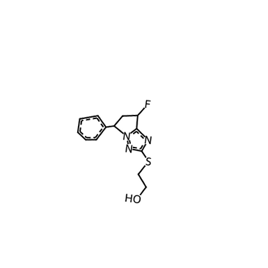 OCCSc1nc2n(n1)C(c1ccccc1)CC2F